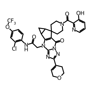 O=C(Cn1c2c(c(=O)n3nc(C4=CCOCC4)nc13)C1(CCN(C(=O)c3ncccc3O)CC1)C1CC21)Nc1ccc(OC(F)(F)F)cc1Cl